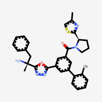 Cc1csc([C@H]2CCCN2C(=O)c2cc(-c3nnc([C@](C)(N)Cc4ccccc4)o3)cc(-c3ccccc3C#N)c2)n1